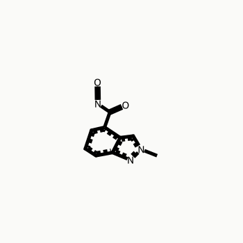 Cn1cc2c(C(=O)N=O)cccc2n1